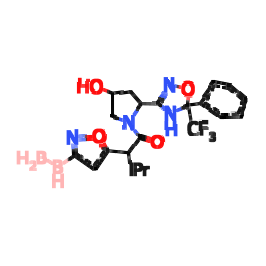 BBc1cc(C(C(=O)N2CC(O)CC2C2=NOC(c3ccccc3)(C(F)(F)F)N2)C(C)C)on1